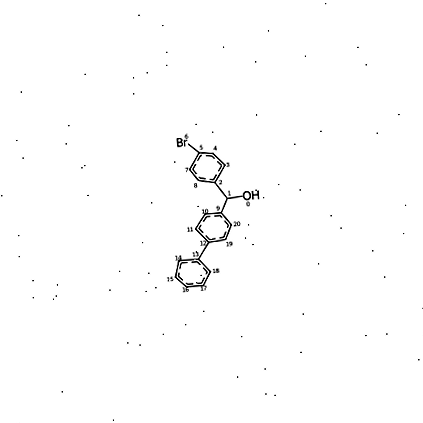 OC(c1ccc(Br)cc1)c1ccc(-c2ccccc2)cc1